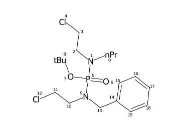 CCCN(CCCl)P(=O)(OC(C)(C)C)N(CCCl)Cc1ccccc1